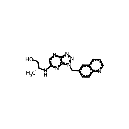 C[C@H](CO)Nc1cnc2nnn(Cc3ccc4ncccc4c3)c2n1